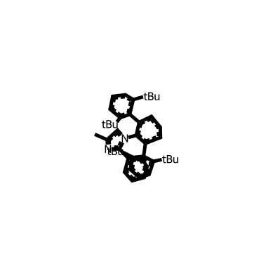 Cc1cn(-c2c(-c3c(C(C)(C)C)cccc3C(C)(C)C)cccc2-c2c(C(C)(C)C)cccc2C(C)(C)C)c(-c2ccccc2)n1